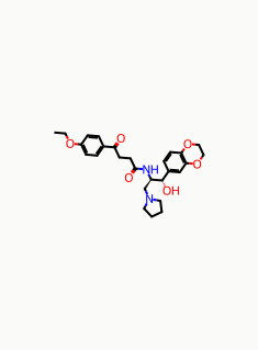 CCOc1ccc(C(=O)CCC(=O)N[C@H](CN2CCCC2)[C@@H](O)c2ccc3c(c2)OCCO3)cc1